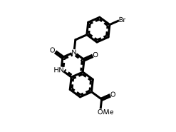 COC(=O)c1ccc2[nH]c(=O)n(Cc3ccc(Br)cc3)c(=O)c2c1